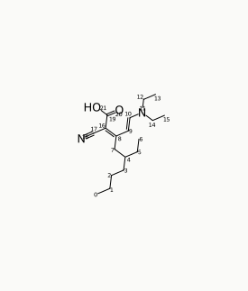 CCCCC(CC)CC(C=CN(CC)CC)=C(C#N)C(=O)O